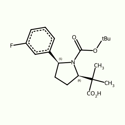 CC(C)(C)OC(=O)N1[C@H](c2cccc(F)c2)CC[C@@H]1C(C)(C)C(=O)O